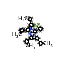 Cc1cccc(-c2ccc3c(c2)c2cc(-c4cccc(C)c4)ccc2n3-c2cc(-c3ccccc3C(F)(F)F)cc(-n3c4ccc(-c5cccc(C)c5)cc4c4cc(-c5cccc(C)c5)ccc43)c2C#N)c1